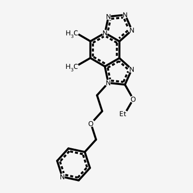 CCOc1nc2c(c(C)c(C)n3nnnc23)n1CCOCc1ccncc1